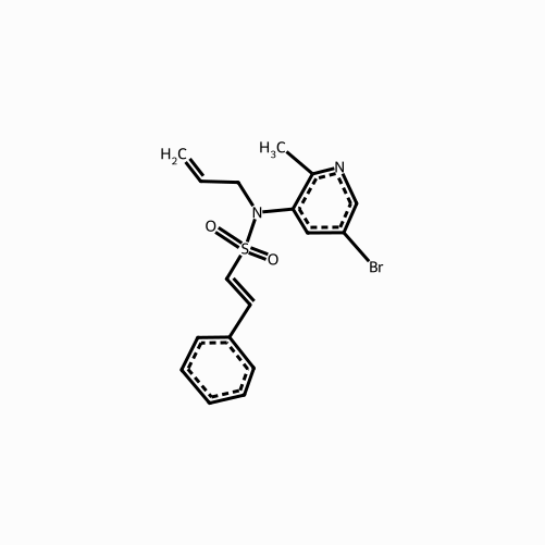 C=CCN(c1cc(Br)cnc1C)S(=O)(=O)C=Cc1ccccc1